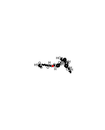 CCCNC(=O)Nc1cccc(S(=O)(=O)Nc2cccc([C@@H](CC(=O)O)NC(=O)Nc3ccc(NC(=O)NCCNC(=O)CCCCCN4C(=O)CC(S)C4=O)cc3)c2)c1